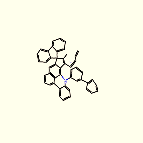 C=C/C=C\C1=C(C)C2(c3ccccc3-c3ccccc32)c2cccc(N(c3cccc(-c4ccccc4)c3)c3ccccc3-c3ccccc3)c21